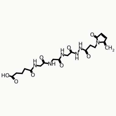 C=C1C=CC(=O)N1CCC(=O)NNC(=O)CNC(=O)CNC(=O)CNC(=O)CCCC(=O)O